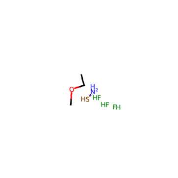 CCOC.F.F.F.NS